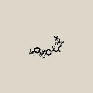 CC(CCN(C)C(=O)OC(C)(C)C)CC(=O)N1CCC(NS(=O)(=O)c2cccc(C(F)(F)F)c2)CC1